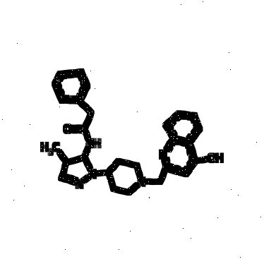 CC1C=NN(C2CCN(Cc3cc(O)c4ccccc4n3)CC2)C1NC(=O)Cc1ccccc1